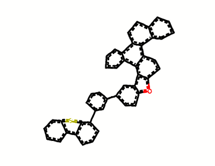 c1cc(-c2ccc3oc4ccc5c6c7ccccc7ccc6c6ccccc6c5c4c3c2)cc(-c2cccc3c2sc2ccccc23)c1